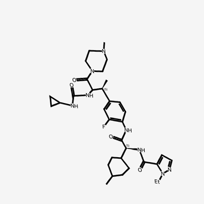 CCn1nccc1C(=O)N[C@H](C(=O)Nc1ccc([C@H](C)C(NC(=O)NC2CC2)C(=O)N2CCN(C)CC2)cc1F)C1CCC(C)CC1